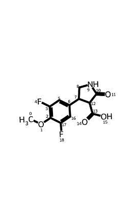 COc1c(F)cc(C2CNC(=O)C2C(=O)O)cc1F